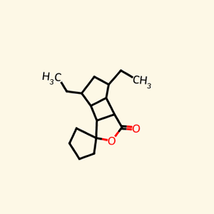 CCC1CC(CC)C2C1C1C(=O)OC3(CCCC3)C12